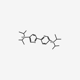 CC(C)[SiH](c1ccc(-c2ccc([SiH](C(C)C)C(C)C)cn2)nc1)C(C)C